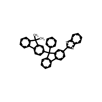 CC1(C)c2ccccc2-c2ccc(C3(c4ccccc4)c4ccccc4-c4ccc(-c5nc6ccccc6s5)cc43)cc21